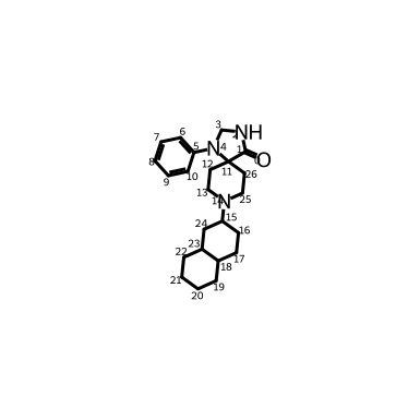 O=C1NCN(c2ccccc2)C12CCN(C1CCC3CCCCC3C1)CC2